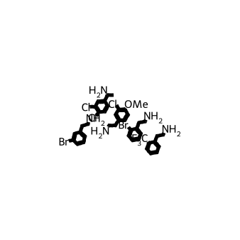 CC(N)c1ccc(Cl)c(Cl)c1.COc1ccc(CCN)cc1Cl.NCCc1cccc(Br)c1.NCCc1ccccc1Br.NCCc1ccccc1C(F)(F)F